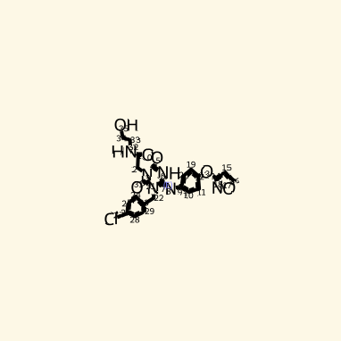 O=C(Cn1c(=O)[nH]/c(=N\c2ccc(Oc3ccon3)cc2)n(Cc2ccc(Cl)cc2)c1=O)NCCO